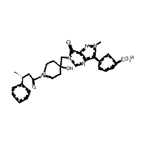 C[C@H](CC(=O)N1CCC(O)(Cn2cnc3c(-c4cccc(C(=O)O)c4)n(C)nc3c2=O)CC1)c1ccccc1